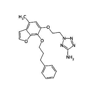 Cc1cc(OCCn2nnc(N)n2)c(OCCCc2ccccc2)c2occc12